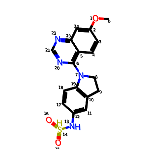 COc1ccc2c(N3CCc4cc(N[SH](=O)=O)ccc43)ncnc2c1